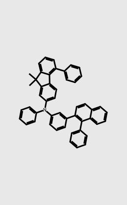 CC1(C)c2cc(N(c3ccccc3)c3cccc(-c4ccc5ccccc5c4-c4ccccc4)c3)ccc2-c2c(-c3ccccc3)cccc21